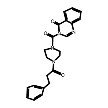 O=C(CCc1ccccc1)N1CCN(C(=O)n2cnc3ccccc3c2=O)CC1